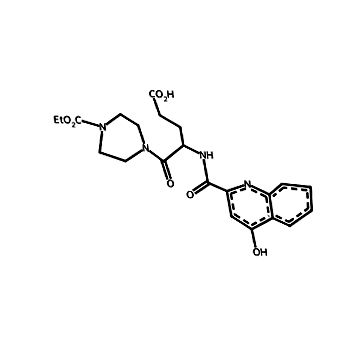 CCOC(=O)N1CCN(C(=O)C(CCC(=O)O)NC(=O)c2cc(O)c3ccccc3n2)CC1